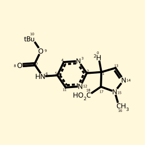 [2H]C1(c2ncc(NC(=O)OC(C)(C)C)cn2)C=NN(C)C1C(=O)O